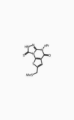 CCCn1c(=O)c2cc(CSC)sc2n2c(=S)[nH]nc12